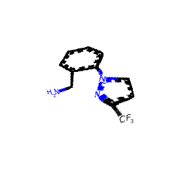 NCc1ccccc1-n1ccc(C(F)(F)F)n1